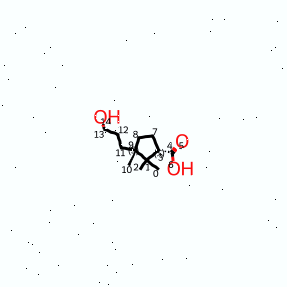 CC1(C)[C@@H](C(=O)O)CC[C@@]1(C)CCCO